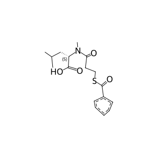 CC(C)C[C@@H](C(=O)O)N(C)C(=O)CCSC(=O)c1ccccc1